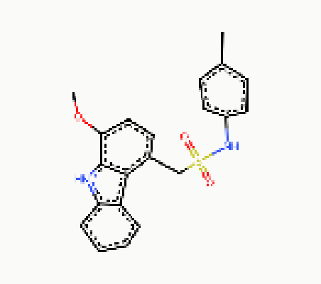 COc1ccc(CS(=O)(=O)Nc2ccc(C)cc2)c2c1[nH]c1ccccc12